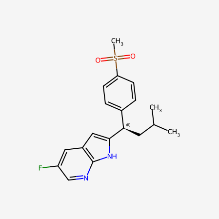 CC(C)C[C@H](c1ccc(S(C)(=O)=O)cc1)c1cc2cc(F)cnc2[nH]1